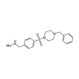 CC(C)(C)NCc1ccc(S(=O)(=O)N2CCN(Cc3ccccc3)CC2)cc1